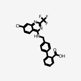 O=C(O)c1ccccc1-c1ccc(CNc2nc(C(F)(F)F)nc3cc(Cl)ccc23)cc1